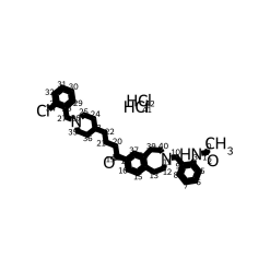 CC(=O)Nc1ccccc1CN1CCc2ccc(C(=O)CCCC3CCN(Cc4ccccc4Cl)CC3)cc2CC1.Cl.Cl